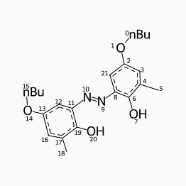 CCCCOc1cc(C)c(O)c(N=Nc2cc(OCCCC)cc(C)c2O)c1